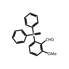 C=P(c1ccccc1)(c1ccccc1)c1cccc(OC)c1C=O